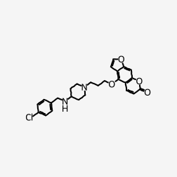 O=c1ccc2c(OCCCN3CCC(NCc4ccc(Cl)cc4)CC3)c3ccoc3cc2o1